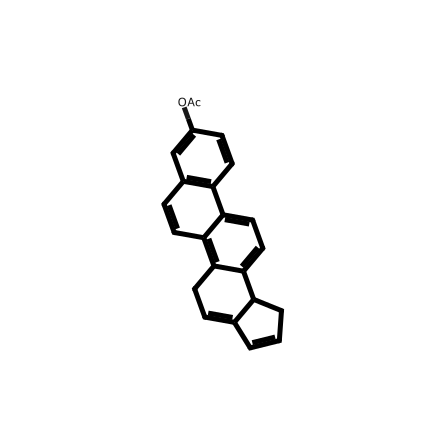 CC(=O)Oc1ccc2c(ccc3c4c(ccc32)C2CC=CC2=CC4)c1